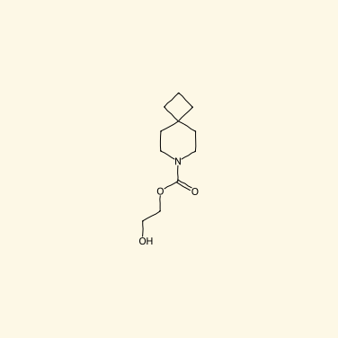 O=C(OCCO)N1CCC2(CCC2)CC1